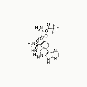 NC(CS(=O)(=O)c1ccc(-c2c[nH]c3nccnc23)c(-c2nnn[nH]2)c1S(N)(=O)=O)OC(=O)C(F)(F)F